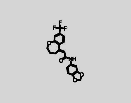 O=C(/C=C1\CCCOc2cc(C(F)(F)F)ccc21)Nc1ccc2c(c1)OCO2